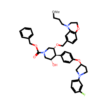 COCCCN1CCOc2ccc(CO[C@H]3CN(C(=O)OCc4ccccc4)C[C@@H](O)[C@@H]3c3ccc(O[C@H]4CCN(c5cccc(F)c5)C4)cc3)cc21